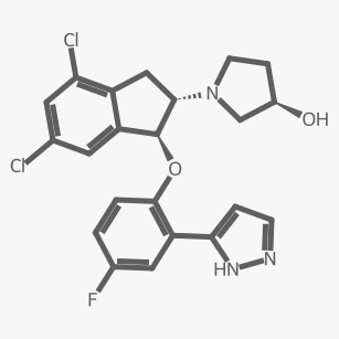 O[C@@H]1CCN([C@H]2Cc3c(Cl)cc(Cl)cc3[C@@H]2Oc2ccc(F)cc2-c2ccn[nH]2)C1